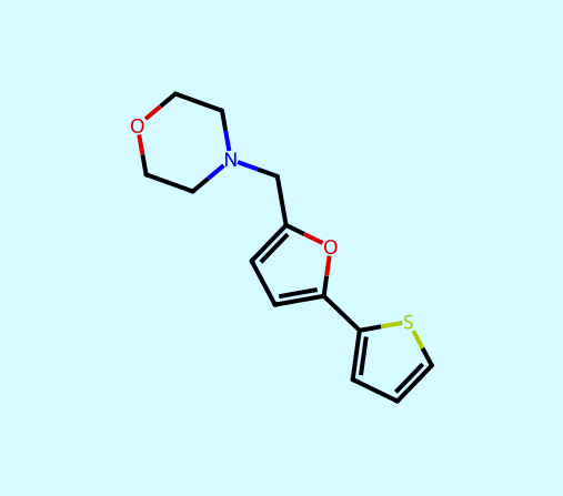 c1csc(-c2ccc(CN3CCOCC3)o2)c1